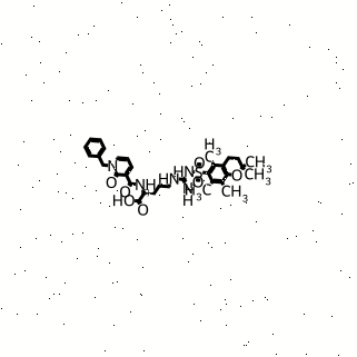 Cc1c(C)c(S(=O)(=O)NC(=N)NCCC[C@H](NC(=O)c2cccn(Cc3ccccc3)c2=O)C(=O)O)c(C)c2c1OC(C)(C)CC2